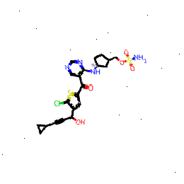 NS(=O)(=O)OCC1CC[C@H](Nc2ncncc2C(=O)c2cc(C(O)C#CC3CC3)c(Cl)s2)C1